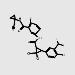 N#CC1(NC(=O)c2cc(NC(=O)C3C(c4ccc(Cl)c(C(F)F)c4)C3(Cl)Cl)ccc2Cl)CC1